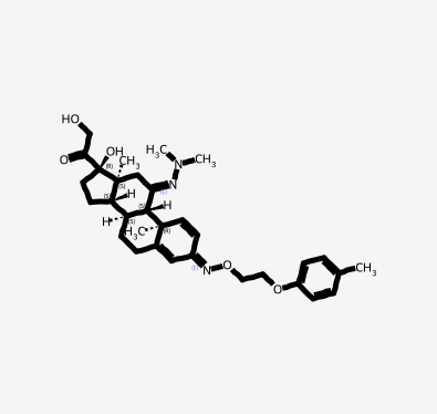 Cc1ccc(OCCO/N=C2\C=C[C@@]3(C)C(=C2)CC[C@@H]2[C@@H]3/C(=N/N(C)C)C[C@@]3(C)[C@H]2CC[C@]3(O)C(=O)CO)cc1